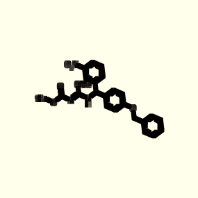 CO/C(=N\C(=O)OC(C)(C)C)NC(c1ccc(OCc2ccccc2)cc1)c1cccc([N+](=O)[O-])c1